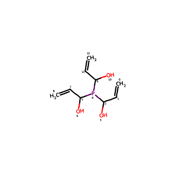 C=CC(O)P(C(O)C=C)C(O)C=C